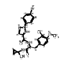 N#CC1(NC(=O)[C@H](Cc2ccc(OC(F)(F)F)c(Cl)c2)NC(=O)c2cnn(-c3ccc(Br)cc3)n2)CC1